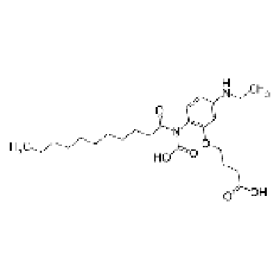 CCCCCCCCCCC(=O)N(C(=O)O)c1ccc(NCC)cc1OCCCC(=O)O